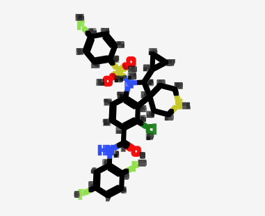 O=C(Nc1cc(F)ccc1F)c1ccc2c(c1Cl)C1(CCSCC1)C(C1CC1)N2S(=O)(=O)c1ccc(F)cc1